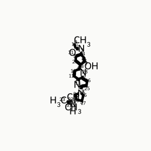 CCc1nc2cc(O)c(-c3ccc4nc(N5CCC(NC(C)(C)C)C5)ccc4n3)cc2o1